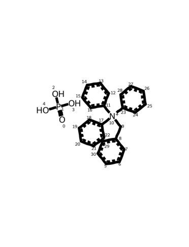 O=P(O)(O)O.c1ccc(C[N+](c2ccccc2)(c2ccccc2)c2ccccc2)cc1